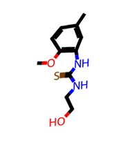 COc1ccc(C)cc1NC(=S)NCCO